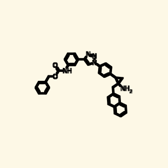 NC1(Cc2ccc3ccccc3c2)CC1c1ccc(-n2cc(-c3cccc(NC(=O)OCc4ccccc4)c3)nn2)cc1